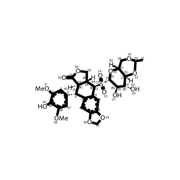 COc1cc([C@H]2c3cc4c(cc3[C@H](S(=O)(=O)[C@@H]3O[C@@H]5COC(C)O[C@H]5[C@H](O)[C@H]3O)[C@H]3COC(=O)[C@H]23)OCO4)cc(OC)c1O